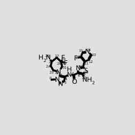 Cn1ncc(NC(=O)c2nc(-c3ccncc3F)sc2N)c1N1CCC(N)CC(F)(F)C1